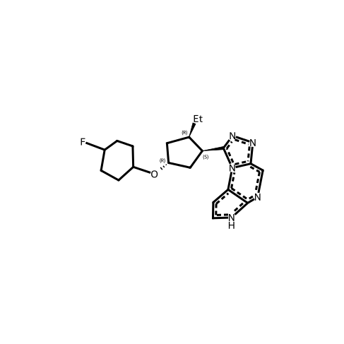 CC[C@@H]1C[C@@H](OC2CCC(F)CC2)C[C@@H]1c1nnc2cnc3[nH]ccc3n12